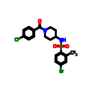 O=C(c1ccc(Cl)cc1)N1CCC(NS(=O)(=O)c2ccc(Br)cc2C(F)(F)F)CC1